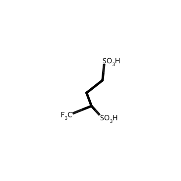 O=S(=O)(O)CCC(C(F)(F)F)S(=O)(=O)O